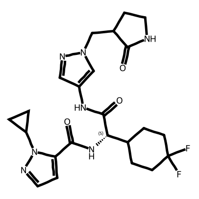 O=C(N[C@H](C(=O)Nc1cnn(CC2CCNC2=O)c1)C1CCC(F)(F)CC1)c1ccnn1C1CC1